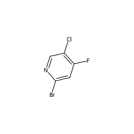 Fc1cc(Br)ncc1Cl